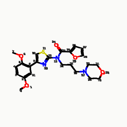 COc1ccc(OC)c(-c2csc(N(CCCN3CCOCC3)C(=O)c3ccco3)n2)c1